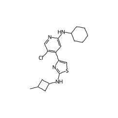 CC1CC(Nc2nc(-c3cc(NC4CCCCC4)ncc3Cl)cs2)C1